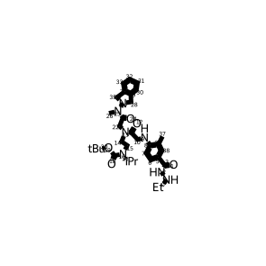 CCNNC(=O)c1ccc(NCC(=O)N(CCN(C(=O)OC(C)(C)C)C(C)C)CC(=O)N(C)N2Cc3ccccc3C2)c(C)c1